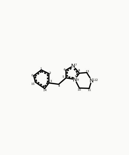 c1ccc(Cc2cnc3n2CC[N]C3)cc1